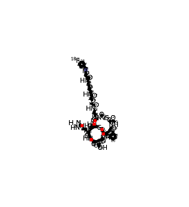 CC(=O)[C@@H]1CSCC(=O)N[C@@H](CCCCNC(=O)COCC(=O)NCCOCCNC(=O)CO/N=C/c2ccc([18F])cc2)C(=O)N[C@H]2CSSC[C@H](NC(=O)[C@H](CC(=O)O)CC(=O)CNC(=O)[C@H](CCCNC(=N)N)CC2=O)C(=O)C[C@@H](Cc2ccccc2)C(=O)N1